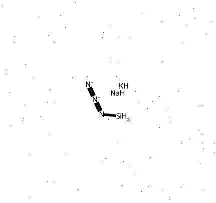 [KH].[N-]=[N+]=N[SiH3].[NaH]